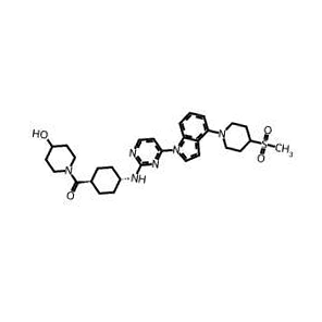 CS(=O)(=O)C1CCN(c2cccc3c2ccn3-c2ccnc(N[C@H]3CC[C@H](C(=O)N4CCC(O)CC4)CC3)n2)CC1